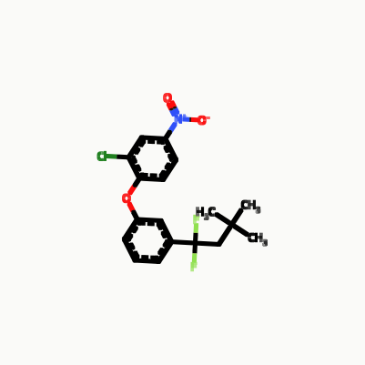 CC(C)(C)CC(F)(F)c1cccc(Oc2ccc([N+](=O)[O-])cc2Cl)c1